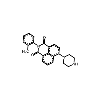 Cc1ccccc1N1C(=O)c2cccc3c(N4CCNCC4)ccc(c23)C1=O